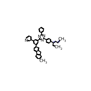 C=C/C(=C\C=C/C)c1ccc(-c2nc(-c3ccccc3)nc(-c3cc(-c4cccnc4)cc(-c4ccc5c(c4)Cc4cc(C)ccc4-5)c3)n2)cc1